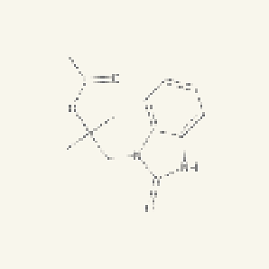 CC(=O)OC(C)(C)Cn1c(=O)[nH]c2ccccc21